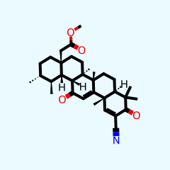 COC(=O)C[C@]12CC[C@@H](C)[C@H](C)[C@H]1[C@H]1C(=O)C=C3[C@@]4(C)C=C(C#N)C(=O)C(C)(C)[C@@H]4CC[C@@]3(C)[C@]1(C)CC2